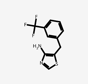 Nc1ncsc1Cc1cccc(C(F)(F)F)c1